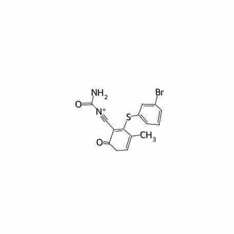 CC1=CCC(=O)C(C#[N+]C(N)=O)=C1Sc1cccc(Br)c1